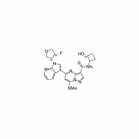 CNc1cc(-c2cn([C@@H]3COC[C@@H]3F)c3ncccc23)nc2c(C(=O)NC3CC[C@H]3O)cnn12